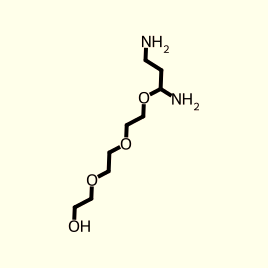 NCCC(N)OCCOCCOCCO